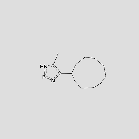 Cc1[nH]pnc1C1CCCCCCCCC1